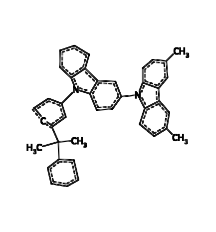 Cc1ccc2c(c1)c1cc(C)ccc1n2-c1ccc2c(c1)c1ccccc1n2-c1cccc(C(C)(C)c2ccccc2)c1